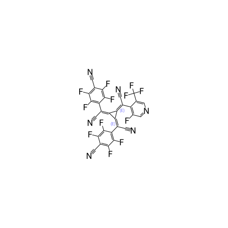 N#CC(=C1C(=C(\C#N)c2c(F)cncc2C(F)(F)F)/C1=C(\C#N)c1c(F)c(F)c(C#N)c(F)c1F)c1c(F)c(F)c(C#N)c(F)c1F